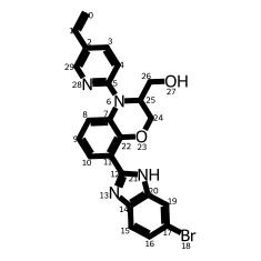 C=Cc1ccc(N2c3cccc(-c4nc5ccc(Br)cc5[nH]4)c3OCC2CO)nc1